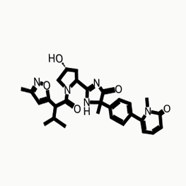 Cc1cc(C(C(=O)N2C[C@H](O)CC2C2=NC(=O)C(C)(c3ccc(-c4cccc(=O)n4C)cc3)N2)C(C)C)on1